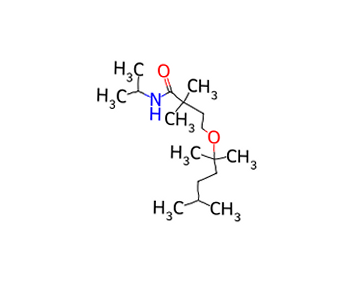 CC(C)CCC(C)(C)OCCC(C)(C)C(=O)NC(C)C